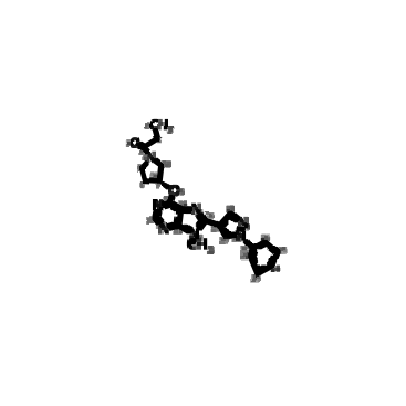 CCC(=O)N1CC[C@H](Oc2ncnc3c2nc(-c2cnn(-c4ccccc4)c2)n3C)C1